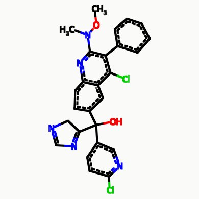 CON(C)c1nc2ccc(C(O)(C3=NC=NC3)c3ccc(Cl)nc3)cc2c(Cl)c1-c1ccccc1